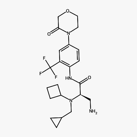 NC[C@H](C(=O)Nc1ccc(N2CCOCC2=O)cc1C(F)(F)F)N(CC1CC1)C1CCC1